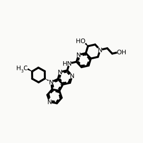 C[C@H]1CC[C@H](n2c3cnccc3c3cnc(Nc4ccc5c(n4)[C@@H](O)CN(CCO)C5)nc32)CC1